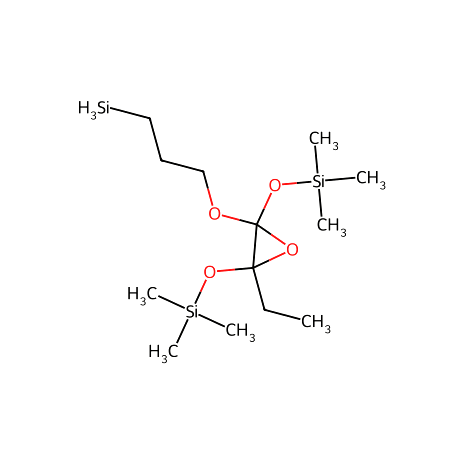 CCC1(O[Si](C)(C)C)OC1(OCCC[SiH3])O[Si](C)(C)C